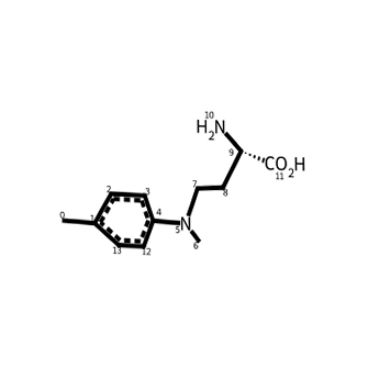 Cc1ccc(N(C)CC[C@H](N)C(=O)O)cc1